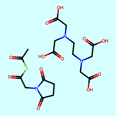 CC(=O)SC(=O)CN1C(=O)CCC1=O.O=C(O)CN(CCN(CC(=O)O)CC(=O)O)CC(=O)O